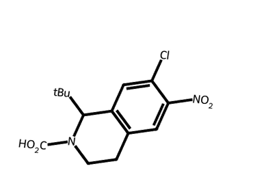 CC(C)(C)C1c2cc(Cl)c([N+](=O)[O-])cc2CCN1C(=O)O